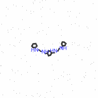 c1ccc(NCCNCc2ccc(CNCCNc3ccccc3)cc2)cc1